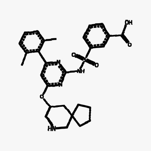 Cc1cccc(C)c1-c1cc(OC2CNCC3(CCCC3)C2)nc(NS(=O)(=O)c2cccc(C(=O)O)c2)n1